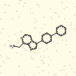 NCc1nccn2c(-c3ccc(-c4ccccc4)cc3)cnc12